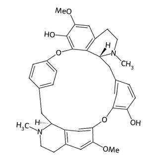 COc1cc2c3cc1Oc1cc(ccc1O)C[C@@H]1c4c(cc(OC)c(O)c4Oc4ccc(cc4)C[C@@H]3N(C)CC2)CCN1C